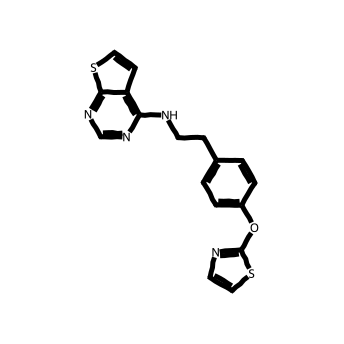 c1csc(Oc2ccc(CCNc3ncnc4sccc34)cc2)n1